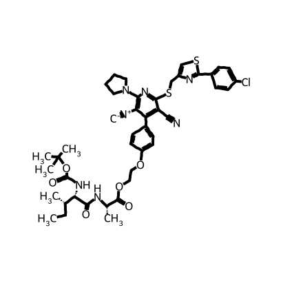 [C-]#[N+]c1c(N2CCCC2)nc(SCc2csc(-c3ccc(Cl)cc3)n2)c(C#N)c1-c1ccc(OCCOC(=O)[C@H](C)NC(=O)[C@@H](NC(=O)OC(C)(C)C)[C@@H](C)CC)cc1